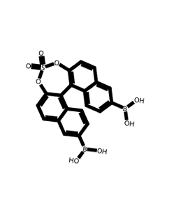 O=S1(=O)Oc2ccc3cc(B(O)O)ccc3c2-c2c(ccc3cc(B(O)O)ccc23)O1